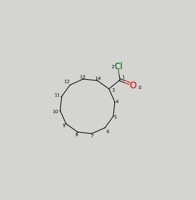 O=C(Cl)C1CCCCCCCCCCC1